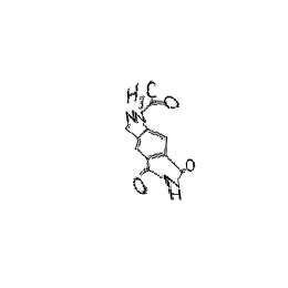 CC(=O)n1ncc2cc3c(cc21)C(=O)NC3=O